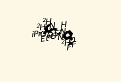 [2H]c1nc(C[S+]([O-])c2nc3cc(OC([2H])(F)F)ccc3[nH]2)c(OCC)c(OC(C)C)c1[2H]